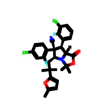 Cc1ccc(C(C)(C)C[C@@H]2N3[C@@H](C(=O)OC3(C)C)[C@H](c3cccc(Cl)c3F)[C@@]2(C#N)c2ccc(Cl)cc2F)o1